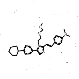 COCOCC[n+]1c(-c2ccc(C3CCCCC3)cc2)csc1/C=C/c1ccc(N(C)C)cc1